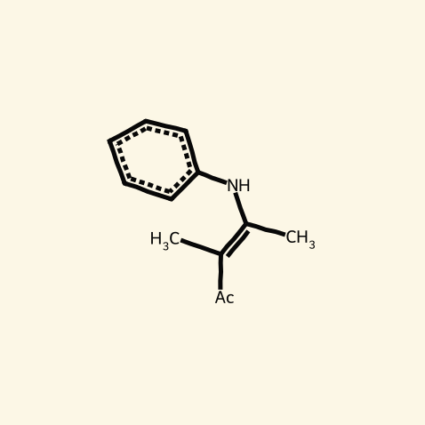 CC(=O)C(C)=C(C)Nc1ccccc1